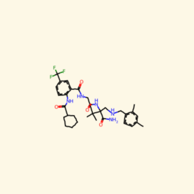 Cc1ccc(CNCC(NC(=O)CNC(=O)c2cc(C(F)(F)F)ccc2NC(=O)C2CCCCC2)(C(N)=O)C(C)(C)C)c(C)c1